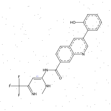 CN/C(=C\C(=N)C(F)(F)F)NC(=O)c1ccc2cc(-c3ccccc3O)cnc2c1